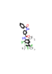 CN(C(=O)c1ccccc1)c1cccc(C(=O)Nc2c(Br)cc(C(F)(C(F)(F)F)C(F)(F)C(F)(F)F)cc2C(F)(F)F)c1